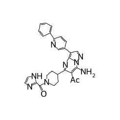 CC(=O)c1c(C2CCN(C(=O)c3ncc[nH]3)CC2)nc2c(-c3ccc(-c4ccccc4)nc3)cnn2c1N